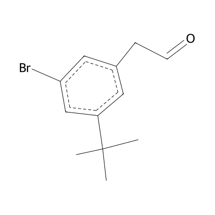 CC(C)(C)c1cc(Br)cc(CC=O)c1